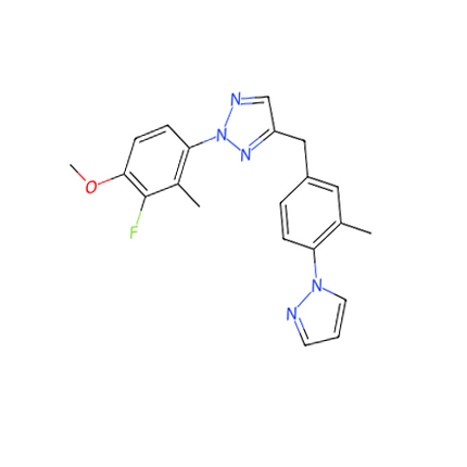 COc1ccc(-n2ncc(Cc3ccc(-n4cccn4)c(C)c3)n2)c(C)c1F